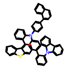 c1ccc(N(c2ccc(-c3ccccc3-n3c4ccccc4c4ccccc43)cc2)c2ccc(-c3cccc4ccccc34)cc2)c(-c2cccc3sc4ccccc4c23)c1